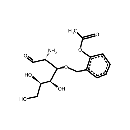 CC(=O)Oc1ccccc1CO[C@@H]([C@@H](O)[C@H](O)CO)[C@@H](N)C=O